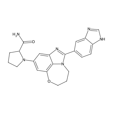 NC(=O)C1CCCN1c1cc2c3c(c1)nc(-c1ccc4[nH]cnc4c1)n3CCCO2